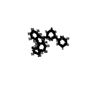 c1ccc(-c2cccc(-n3c4ccccc4c4c5sccc5ccc43)n2)nc1